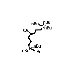 CCCC[N+](CCCC)(CCCC)CCCC(CCC[N+](CCCC)(CCCC)CCCC)C(C)(C)C